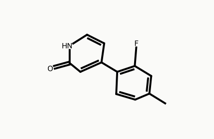 Cc1ccc(-c2cc[nH]c(=O)c2)c(F)c1